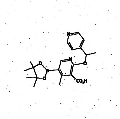 Cc1c(B2OC(C)(C)C(C)(C)O2)cnc(OC(C)c2ccncc2)c1C(=O)O